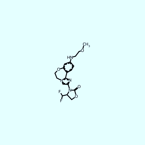 COCCNc1ccc2c(c1)OCCn1cc(N3C(=O)OCC3C(F)F)nc1-2